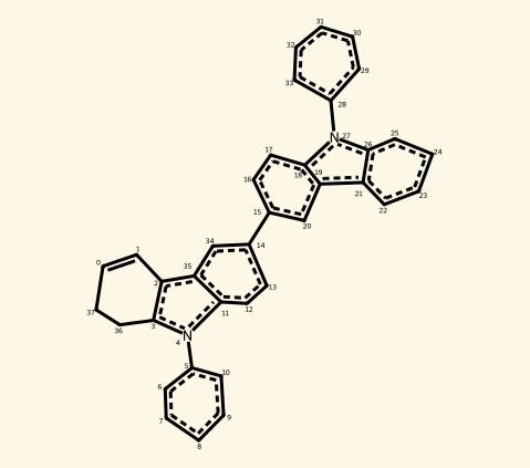 C1=Cc2c(n(-c3ccccc3)c3ccc(-c4ccc5c(c4)c4ccccc4n5-c4ccccc4)cc23)CC1